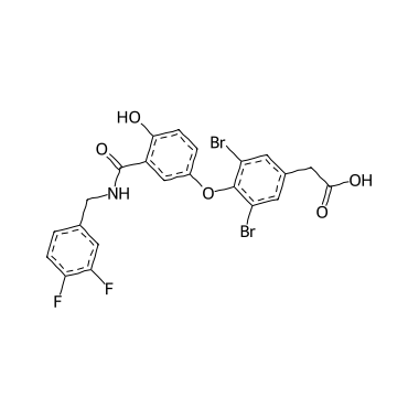 O=C(O)Cc1cc(Br)c(Oc2ccc(O)c(C(=O)NCc3ccc(F)c(F)c3)c2)c(Br)c1